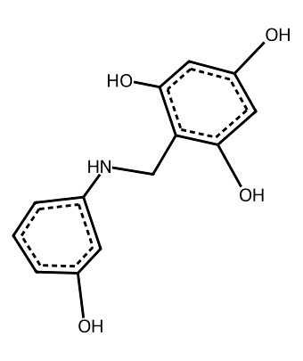 Oc1cccc(NCc2c(O)cc(O)cc2O)c1